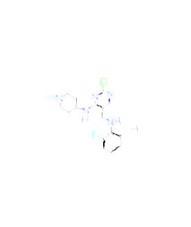 Cc1cccc(F)c1NCc1cnc(Cl)nc1NC1CCNCC1